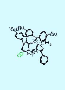 CC1=[C]([Zr+2](=[C](c2ccc(C(C)(C)C)cc2)c2ccc(C(C)(C)C)cc2)[c]2c(C(C)(C)C)ccc3c2Cc2cc(C(C)(C)C)ccc2-3)C(C)C=C1c1ccccc1.[Cl-].[Cl-]